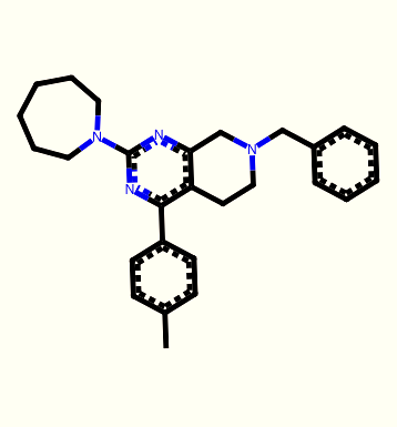 Cc1ccc(-c2nc(N3CCCCCC3)nc3c2CCN(Cc2ccccc2)C3)cc1